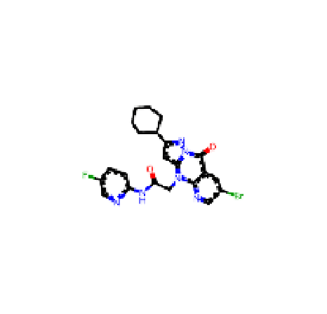 O=C(Cn1c2ncc(Br)cc2c(=O)n2nc(C3CCCCC3)cc12)Nc1ccc(F)cn1